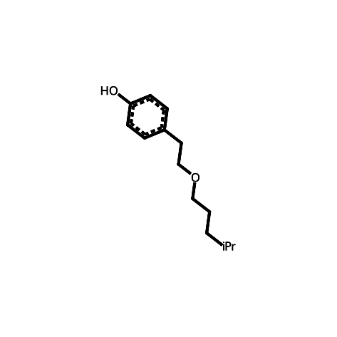 CC(C)CCCOCCc1ccc(O)cc1